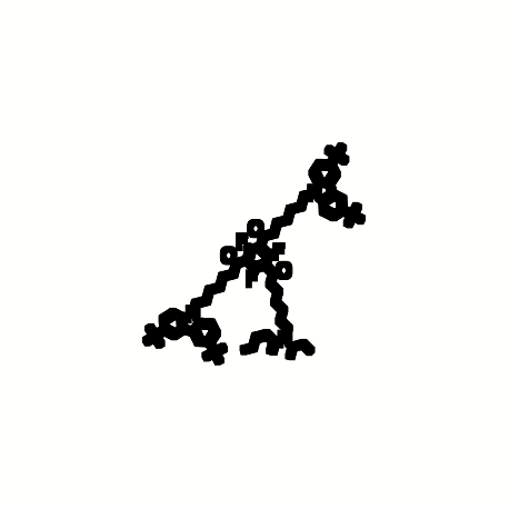 C=C(/C=C\CC)N(CCCCCCC(=O)c1c(F)c(C(=O)CCCCCCn2c3ccc(C(C)(C)C)cc3c3cc(C(C)(C)C)ccc32)c(F)c(C(=O)CCCCCCn2c3ccc(C(C)(C)C)cc3c3cc(C(C)(C)C)ccc32)c1F)C(C)CC